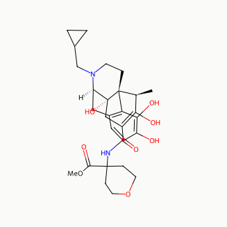 COC(=O)C1(NC(=O)C2=C(O)[C@H](C)[C@]34CCN(CC5CC5)[C@H](Cc5ccc(O)c(O)c53)[C@]4(O)C2)CCOCC1